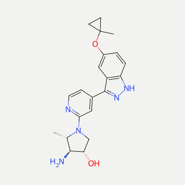 C[C@H]1[C@H](N)[C@@H](O)CN1c1cc(-c2n[nH]c3ccc(OC4(C)CC4)cc23)ccn1